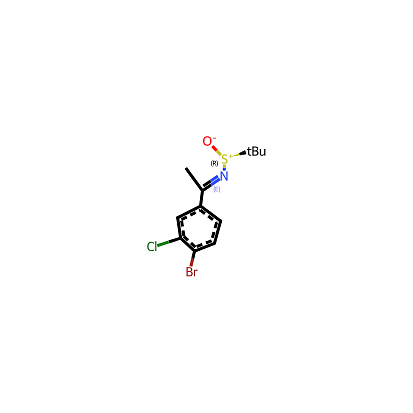 C/C(=N\[S@@+]([O-])C(C)(C)C)c1ccc(Br)c(Cl)c1